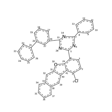 Clc1ccc(-c2nc(-c3ccccc3)nc(-c3cccc(-c4ccccc4)c3)n2)c2oc3cc4ccccc4cc3c12